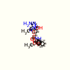 C=C/C=C1/C(N)=NC=NN1[C@]1(C#N)O[C@H](COP(=O)(N[C@@H](Cc2ccccc2)C(=O)OCC)Oc2ccccc2)C[C@H]1O